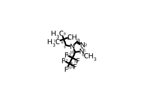 CN1N=CN(CC(C)(C)C)C1C(F)(F)C(F)(F)F